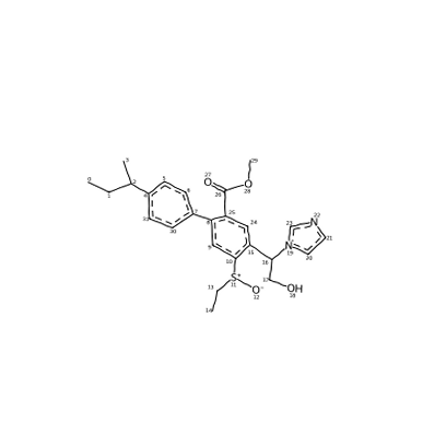 CCC(C)c1ccc(-c2cc([S+]([O-])CC)c(C(CO)n3ccnc3)cc2C(=O)OC)cc1